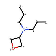 CCCN(CCC)C1COC1